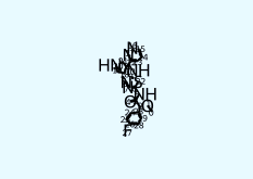 CO[C@H](C(=O)Nc1nnc(NC2(c3cccnn3)CCNC2)s1)c1ccc(F)cc1